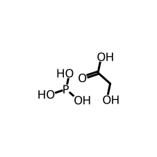 O=C(O)CO.OP(O)O